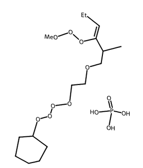 CCC=C(OOOC)C(C)COCCOOOOC1CCCCC1.O=P(O)(O)O